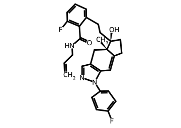 C=CCNC(=O)c1c(F)cccc1CC[C@]1(O)CCC2=Cc3c(cnn3-c3ccc(F)cc3)C[C@@]21C